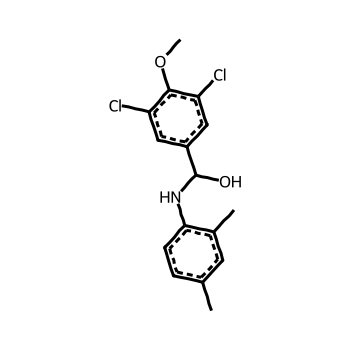 COc1c(Cl)cc(C(O)Nc2ccc(C)cc2C)cc1Cl